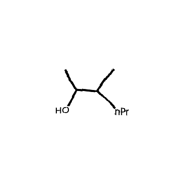 CCCC(C)C(C)O